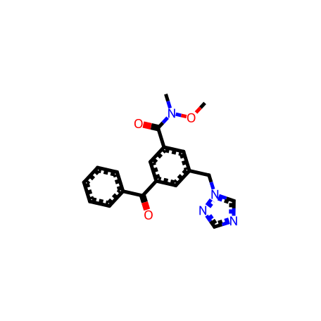 CON(C)C(=O)c1cc(Cn2cncn2)cc(C(=O)c2ccccc2)c1